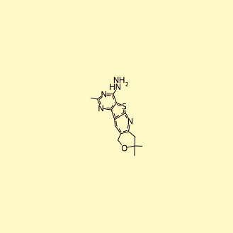 Cc1nc(NN)c2sc3nc4c(cc3c2n1)COC(C)(C)C4